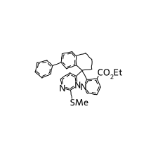 CCOC(=O)c1cccnc1C1(c2ccnc(SC)n2)CCCc2ccc(-c3ccccc3)cc21